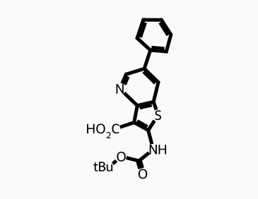 CC(C)(C)OC(=O)Nc1sc2cc(-c3ccccc3)cnc2c1C(=O)O